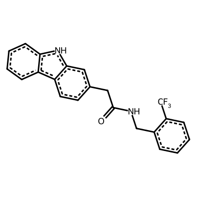 O=C(Cc1ccc2c(c1)[nH]c1ccccc12)NCc1ccccc1C(F)(F)F